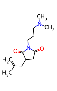 C=C(C)CC1CC(=O)N(CCCN(C)C)C1=O